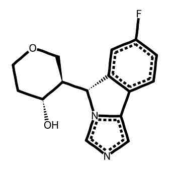 O[C@@H]1CCOC[C@H]1[C@@H]1c2cc(F)ccc2-c2cncn21